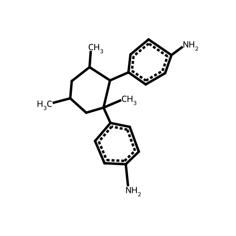 CC1CC(C)C(c2ccc(N)cc2)C(C)(c2ccc(N)cc2)C1